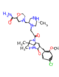 COc1cc(Cl)ccc1Cc1cc2c([nH]c1=O)C(C)(C)CN2C(=O)CN1C[C@@H](C)NC[C@@H]1CN1CCOC(C(N)=O)C1